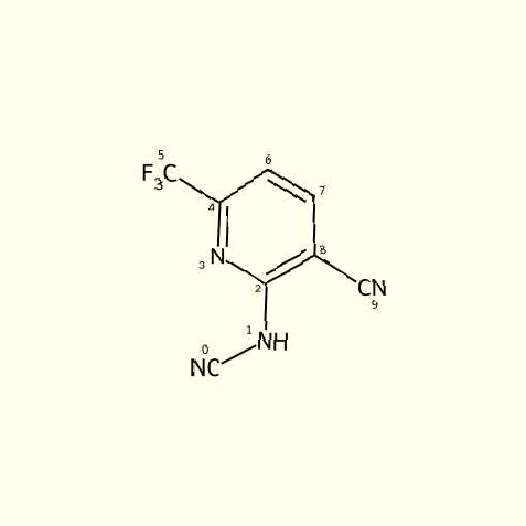 N#CNc1nc(C(F)(F)F)ccc1C#N